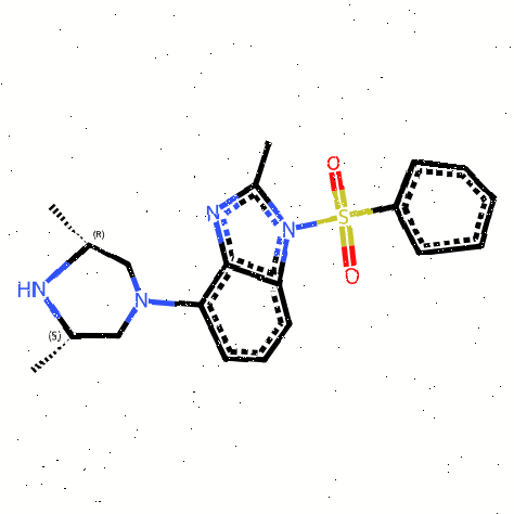 Cc1nc2c(N3C[C@@H](C)N[C@@H](C)C3)cccc2n1S(=O)(=O)c1ccccc1